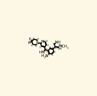 CN/C=C(\C=N)c1ccc(N)c(C(=N)c2ccnc(N3CCC(F)(F)CC3)c2)c1